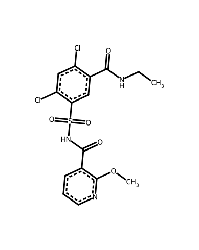 CCNC(=O)c1cc(S(=O)(=O)NC(=O)c2cccnc2OC)c(Cl)cc1Cl